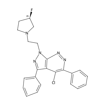 F[C@@H]1CCN(CCn2nc(-c3ccccc3)c3c(Cl)c(-c4ccccc4)nnc32)C1